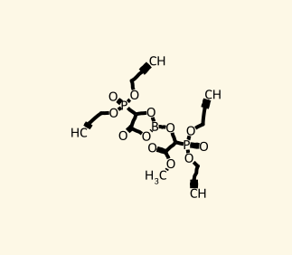 C#CCOP(=O)(OCC#C)C(OB1OC(=O)C(P(=O)(OCC#C)OCC#C)O1)C(=O)OC